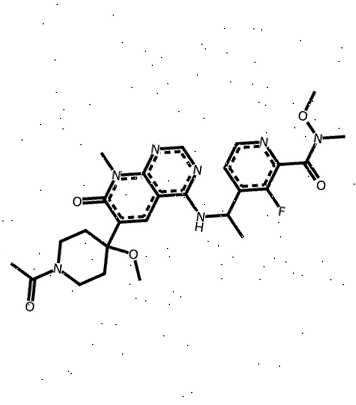 CON(C)C(=O)c1nccc(C(C)Nc2ncnc3c2cc(C2(OC)CCN(C(C)=O)CC2)c(=O)n3C)c1F